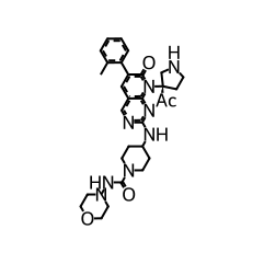 CC(=O)[C@]1(n2c(=O)c(-c3ccccc3C)cc3cnc(NC4CCN(C(=O)NN5CCOCC5)CC4)nc32)CCNC1